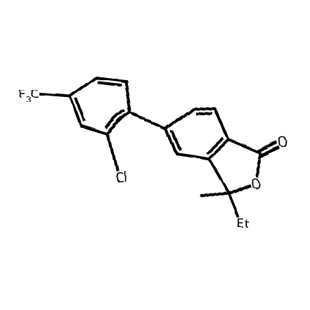 CCC1(C)OC(=O)c2ccc(-c3ccc(C(F)(F)F)cc3Cl)cc21